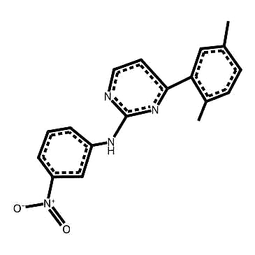 Cc1ccc(C)c(-c2ccnc(Nc3cccc([N+](=O)[O-])c3)n2)c1